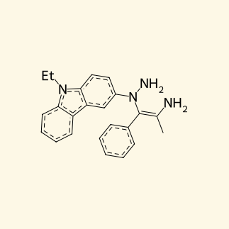 CCn1c2ccccc2c2cc(N(N)/C(=C(/C)N)c3ccccc3)ccc21